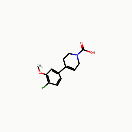 COc1cc(C2=CCN(C(=O)O)CC2)ccc1F